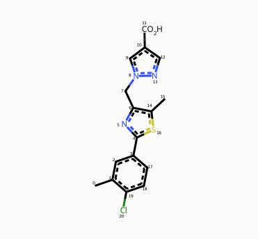 Cc1cc(-c2nc(Cn3cc(C(=O)O)cn3)c(C)s2)ccc1Cl